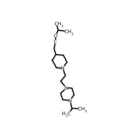 CC(C)OCCC1CCN(CCN2CCN(C(C)C)CC2)CC1